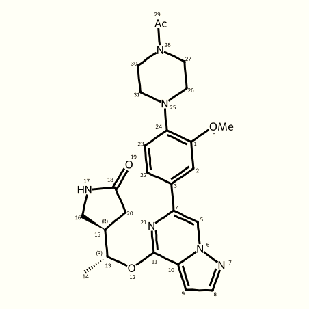 COc1cc(-c2cn3nccc3c(O[C@H](C)[C@H]3CNC(=O)C3)n2)ccc1N1CCN(C(C)=O)CC1